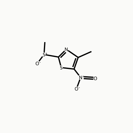 Cc1nc([S+](C)[O-])sc1[N+](=O)[O-]